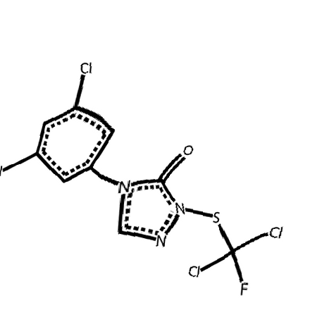 O=c1n(-c2cc(Cl)cc(Cl)c2)cnn1SC(F)(Cl)Cl